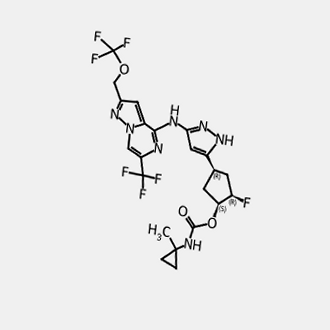 CC1(NC(=O)O[C@H]2C[C@@H](c3cc(Nc4nc(C(F)(F)F)cn5nc(COC(F)(F)F)cc45)n[nH]3)C[C@H]2F)CC1